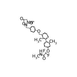 CNC(=O)C(F)(F)Oc1ccc(-c2cccc(COc3ccc(CN4OC(=O)C[NH+]4[O-])cc3)c2C)c(C)c1